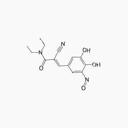 CCN(CC)C(=O)/C(C#N)=C/c1cc(O)c(O)c(N=O)c1